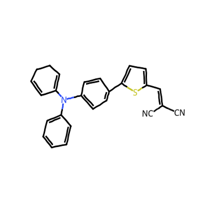 N#CC(C#N)=Cc1ccc(-c2ccc(N(C3=CCCC=C3)c3ccccc3)cc2)s1